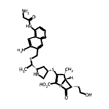 CC(SCc1cc2cccc(NC(=O)CN)c2cc1N)[C@@H]1C[C@H](SC2=C(C(=O)O)N3C(=O)[C@@H](CCO)[C@H]3[C@H]2C)CN1